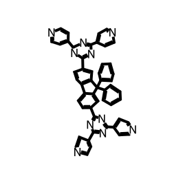 c1ccc(C2(c3ccccc3)c3cc(-c4nc(-c5ccncc5)nc(-c5ccncc5)n4)ccc3-c3ccc(-c4nc(-c5ccncc5)nc(-c5ccncc5)n4)cc32)cc1